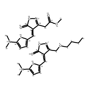 CCCCOCC1=NOC(=O)C1=Cc1ccc(N(C)C)s1.COC(=O)CC1=NOC(=O)C1=Cc1ccc(N(C)C)s1